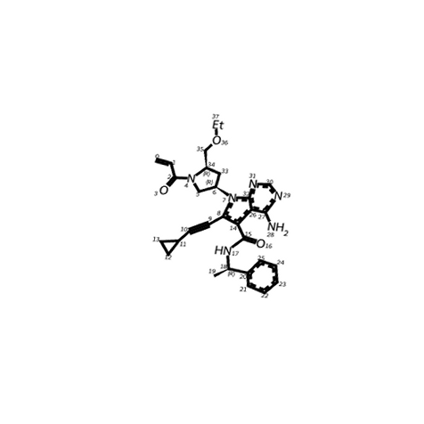 C=CC(=O)N1C[C@H](n2c(C#CC3CC3)c(C(=O)N[C@H](C)c3ccccc3)c3c(N)ncnc32)C[C@@H]1COCC